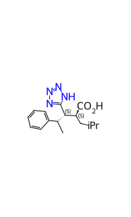 CC(C)C[C@H](C(=O)O)[C@@H](c1nnn[nH]1)C(C)c1ccccc1